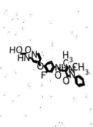 Cc1c(C(=O)Nc2ccc(Oc3ccnc(NC(=O)CO)c3)c(F)c2)c(=O)n(-c2ccccc2)n1C